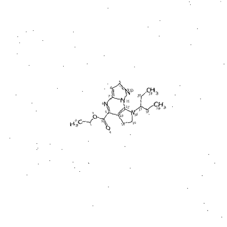 CCOC(=O)c1nc2ccnn2c2c1CCN2C(CC)CC